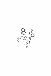 CC(Br)c1ccc(COc2cccc3c2C=NC3=O)cc1.COC(=O)CCC(C(N)=O)c1ccc2ccccc2n1